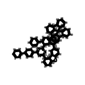 c1ccc(-c2ccc(-c3nc(-c4ccccc4-c4ccccc4)nc(-c4cccc5oc6ccc(-c7ccc(-c8cccc9c8C8(c%10ccccc%10-c%10ccccc%108)c8ccccc8-9)cc7)cc6c45)n3)cc2)cc1